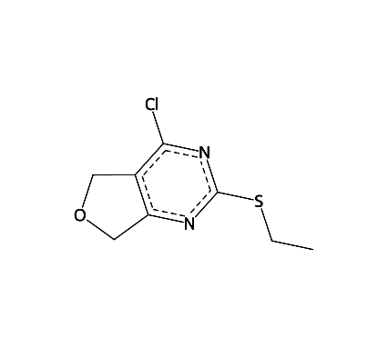 CCSc1nc(Cl)c2c(n1)COC2